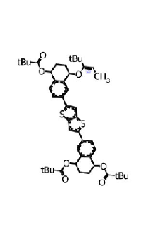 C/C=C(\OC1CCC(OC(=O)C(C)(C)C)c2ccc(-c3cc4sc(-c5ccc6c(c5)C(OC(=O)C(C)(C)C)CCC6OC(=O)C(C)(C)C)cc4s3)cc21)C(C)(C)C